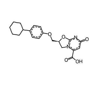 O=C(O)c1cc(=O)nc2n1C[C@@H](COc1ccc(C3CCCCC3)cc1)O2